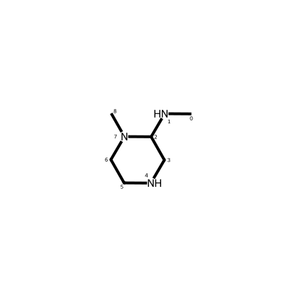 CNC1CNCCN1C